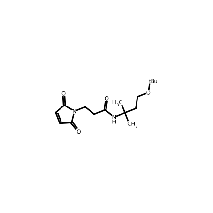 CC(C)(CCOC(C)(C)C)NC(=O)CCN1C(=O)C=CC1=O